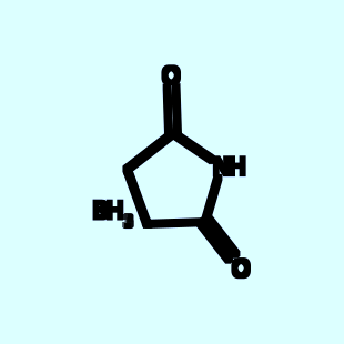 B.O=C1CCC(=O)N1